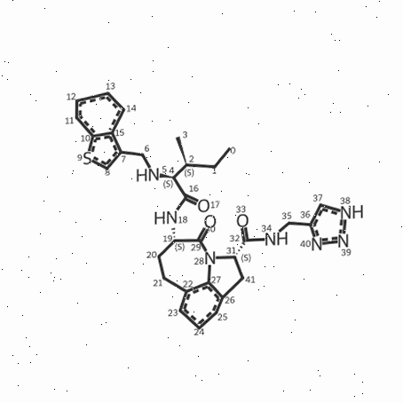 CC[C@H](C)[C@H](NCc1csc2ccccc12)C(=O)N[C@H]1CCc2cccc3c2N(C1=O)[C@H](C(=O)NCc1c[nH]nn1)C3